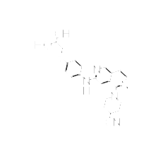 CC(O)CSc1ccc(Nc2cc3c(N4CCC(C#N)CC4)nccc3cn2)cc1